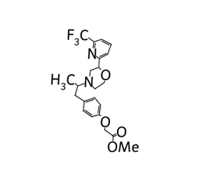 COC(=O)COc1ccc(CC(C)N2CCOC(c3cccc(C(F)(F)F)n3)C2)cc1